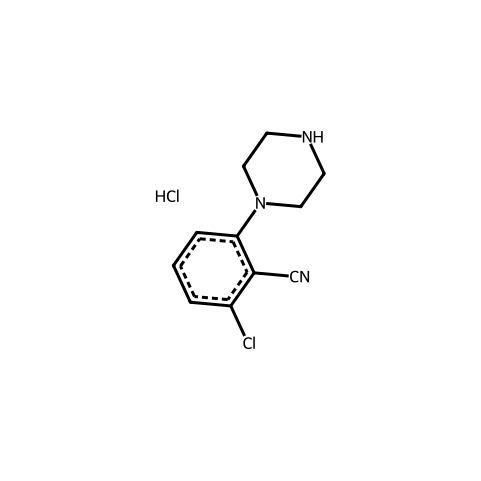 Cl.N#Cc1c(Cl)cccc1N1CCNCC1